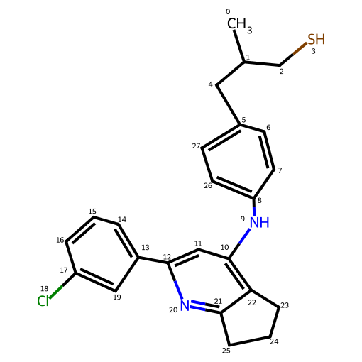 CC(CS)Cc1ccc(Nc2cc(-c3cccc(Cl)c3)nc3c2CCC3)cc1